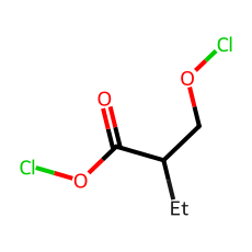 CCC(COCl)C(=O)OCl